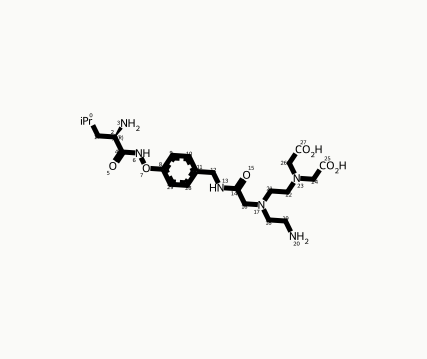 CC(C)C[C@@H](N)C(=O)NOc1ccc(CNC(=O)CN(CCN)CCN(CC(=O)O)CC(=O)O)cc1